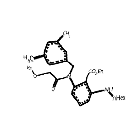 CCCCCCNc1cccc(N(Cc2cc(C)cc(C)c2)C(=O)COCC)c1C(=O)OCC